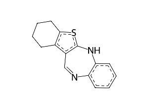 C1=Nc2ccccc2Nc2sc3c(c21)CCCC3